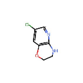 Clc1[c]nc2c(c1)OCCN2